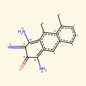 Cc1cccc2cc3c(c(C)c12)=C(N)C(=N)C(=O)C=3N